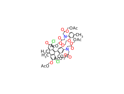 CC(=O)OCOC(=O)CN(CC(=O)OCOC(C)=O)c1ccc(C)cc1OCCOc1cc(C2=C3C=C(Cl)C(=O)C=C3C(C)(C)c3cc(OCOC(C)=O)c(Cl)cc32)c(C(=O)O)cc1N(CC(=O)OCOC(C)=O)CC(=O)OCOC(C)=O